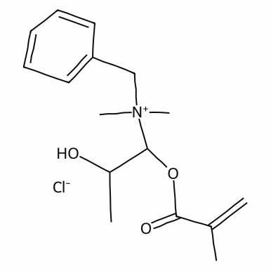 C=C(C)C(=O)OC(C(C)O)[N+](C)(C)Cc1ccccc1.[Cl-]